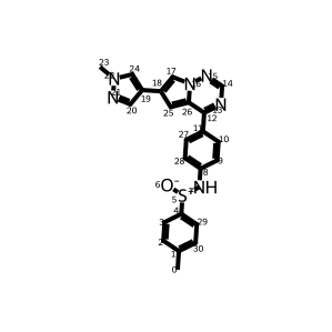 Cc1ccc([S+]([O-])Nc2ccc(-c3ncnn4cc(-c5cnn(C)c5)cc34)cc2)cc1